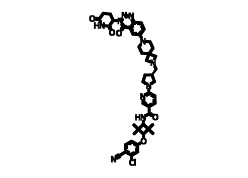 CC1(C)C(NC(=O)c2ccc(N3CC[C@@H](CN4CC5(CCN(c6ccc7nnn(C8CCC(=O)NC8=O)c(=O)c7c6)CC5)C4)C3)nc2)C(C)(C)C1Oc1ccc(C#N)c(Cl)c1